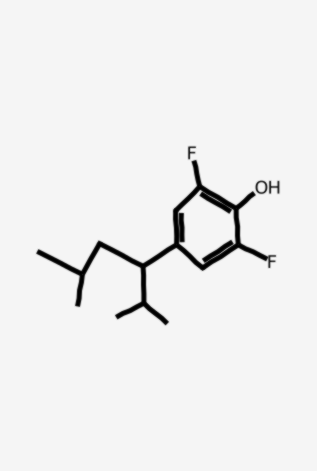 CC(C)CC(c1cc(F)c(O)c(F)c1)C(C)C